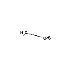 CCCCCCCCCCCCCCCCCCCCCCCCCOc1ccc([I+]c2ccccc2)cc1